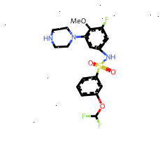 COc1c(F)cc(NS(=O)(=O)c2cccc(OC(F)F)c2)cc1N1CCNCC1